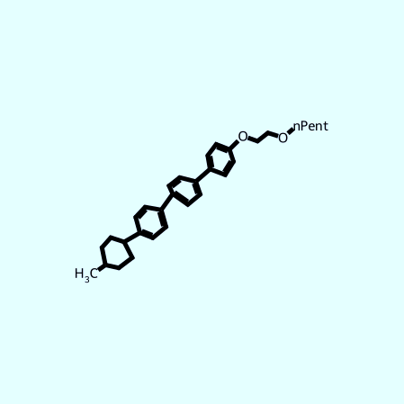 CCCCCOCCOc1ccc(-c2ccc(-c3ccc(C4CCC(C)CC4)cc3)cc2)cc1